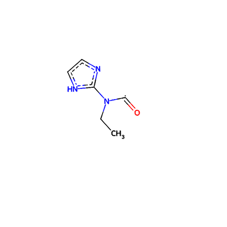 CCN([C]=O)c1ncc[nH]1